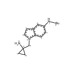 CC(C)(C)Nc1ccc2c(ccn2CC2(N)CC2)c1